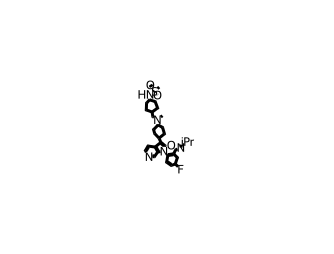 CC(C)N(C)C(=O)C1=C(n2cc(C3CCC(N(C)CC4CCC(NS(C)(=O)=O)CC4)CC3)c3ccncc32)C=CC(F)C1